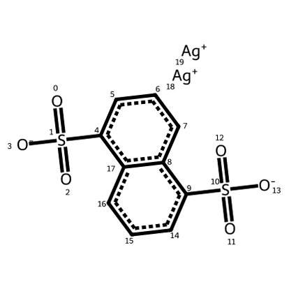 O=S(=O)([O-])c1cccc2c(S(=O)(=O)[O-])cccc12.[Ag+].[Ag+]